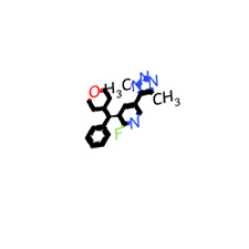 Cc1nnn(C)c1C1=CC([C@@H](c2ccccc2)C2CCOCC2)C(F)N=C1